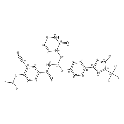 CC(C)Oc1ccc(C(=O)NC(Cc2ccc(-c3cn(C)c(C(C)(C)C)n3)cc2)CN2C=CCNC2=O)cc1C#N